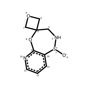 [O-][S+]1NCC2(COC2)Oc2ncccc21